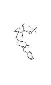 CC(C)(C)OC(=O)NC1(CC2CC(=O)N(Cc3ccccc3)C2)CC1